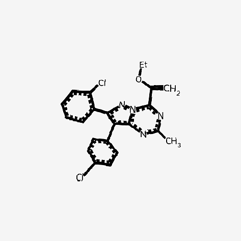 C=C(OCC)c1nc(C)nc2c(-c3ccc(Cl)cc3)c(-c3ccccc3Cl)nn12